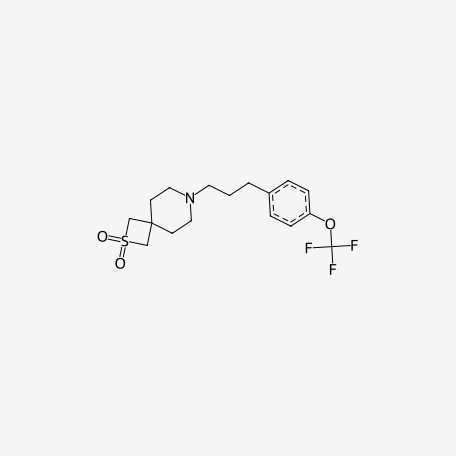 O=S1(=O)CC2(CCN(CCCc3ccc(OC(F)(F)F)cc3)CC2)C1